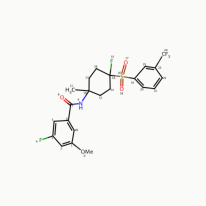 COc1cc(F)cc(C(=O)NC2(C)CCC(F)(S(=O)(=O)c3cccc(C(F)(F)F)c3)CC2)c1